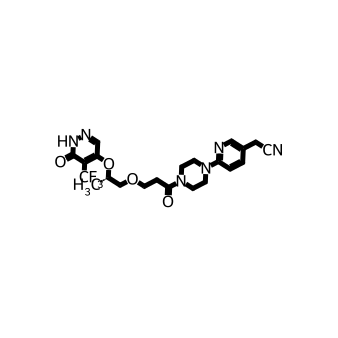 C[C@@H](COCCC(=O)N1CCN(c2ccc(CC#N)cn2)CC1)Oc1cn[nH]c(=O)c1C(F)(F)F